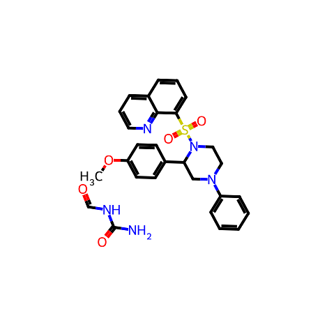 COc1ccc(C2CN(c3ccccc3)CCN2S(=O)(=O)c2cccc3cccnc23)cc1.NC(=O)NC=O